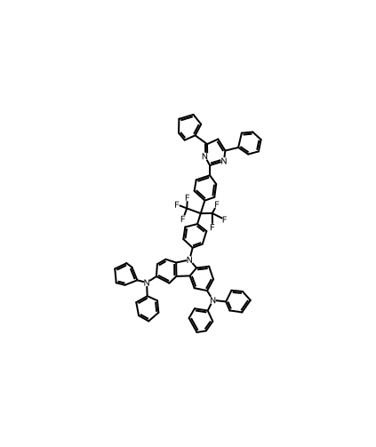 FC(F)(F)C(c1ccc(-c2nc(-c3ccccc3)cc(-c3ccccc3)n2)cc1)(c1ccc(-n2c3ccc(N(c4ccccc4)c4ccccc4)cc3c3cc(N(c4ccccc4)c4ccccc4)ccc32)cc1)C(F)(F)F